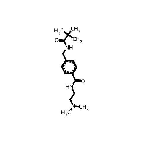 CN(C)CCNC(=O)c1ccc(CNC(=O)C(C)(C)C)cc1